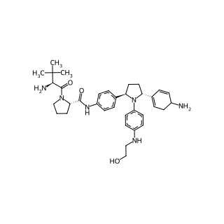 CC(C)(C)[C@H](N)C(=O)N1CCC[C@H]1C(=O)Nc1ccc([C@H]2CC[C@H](C3=CCC(N)C=C3)N2c2ccc(NCCO)cc2)cc1